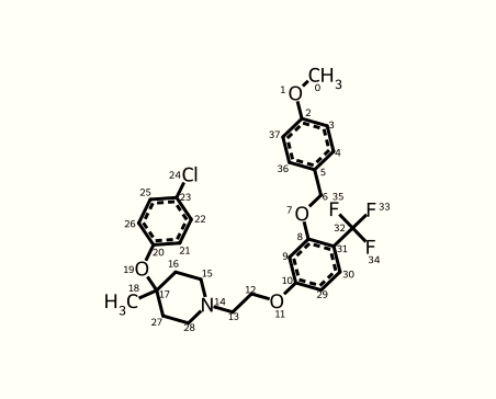 COc1ccc(COc2cc(OCCN3CCC(C)(Oc4ccc(Cl)cc4)CC3)ccc2C(F)(F)F)cc1